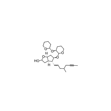 CC#CCC(C)C/C=C/[C@@H]1[C@H]2CC(O)O[C@H]2C[C@H]1OC1OCCC[C@@H]1OC1CCCCO1